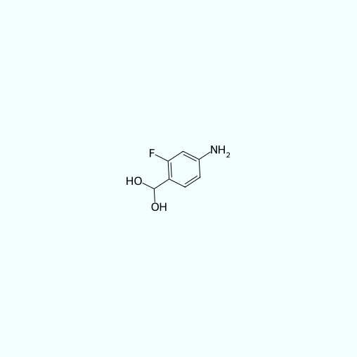 Nc1ccc(C(O)O)c(F)c1